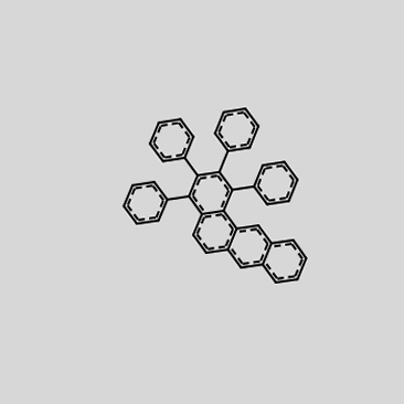 c1ccc(-c2c(-c3ccccc3)c(-c3ccccc3)c3c(ccc4cc5ccccc5cc43)c2-c2ccccc2)cc1